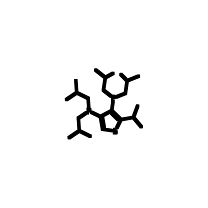 CC(C)CP(CC(C)C)c1csc(C(C)C)c1P(CC(C)C)CC(C)C